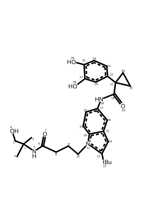 CC(C)(CO)NC(=O)CCCn1c(C(C)(C)C)cc2cc(NC(=O)C3(c4ccc(O)c(O)c4)CC3)ccc21